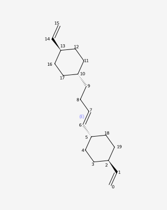 C=C[C@H]1CC[C@H](/C=C/CC[C@H]2CC[C@H](C=C)CC2)CC1